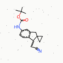 CC(C)(C)OC(=O)Nc1ccc2c(c1)CC1(CC1)/C2=C\C#N